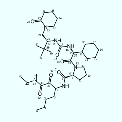 CCCCC(NC(=O)[C@@H]1CCCN1C(=O)[C@@H](NC(=O)N[C@H](CN1CCCCC1=O)C(C)(C)C)C1CCCCC1)C(=O)C(=O)NCC